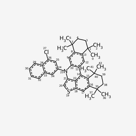 CC1(C)CCC(C)(C)c2cc3c(cc21)-c1c2c(cc4scc(c14)N3c1cc(Cl)c3ccccc3c1)C(C)(C)CCC2(C)C